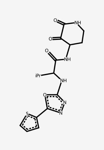 CC(C)C(Nc1nnc(-c2cccs2)o1)C(=O)NC1CCNC(=O)C1=O